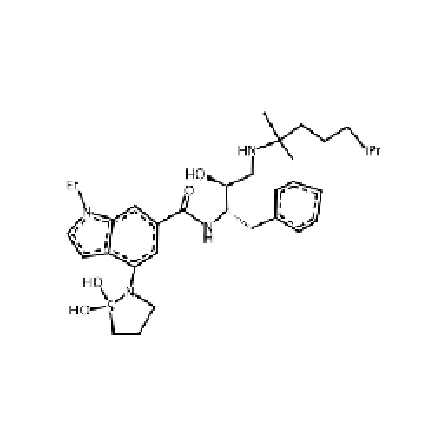 CCn1ccc2c(N3CCCS3(O)O)cc(C(=O)N[C@@H](Cc3ccccc3)[C@@H](O)CNC(C)(C)CCCC(C)C)cc21